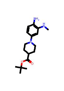 CNc1cc(N2CCC(C(=O)OC(C)(C)C)CC2)ccc1N